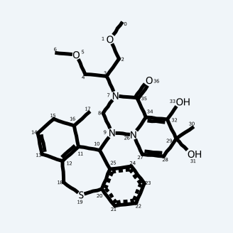 COCC(COC)N1CN(C2C3=C(C=CCC3C)CSc3ccccc32)N2C=CC(C)(O)C(O)=C2C1=O